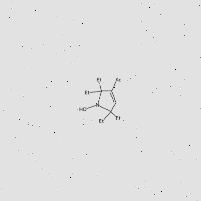 CCC1(CC)C=C(C(C)=O)C(CC)(CC)N1O